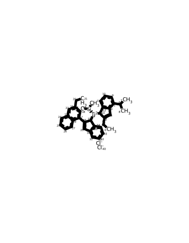 CCC1=Cc2c(C(C)C)cccc2[CH]1[Ti+2]([CH]1C(c2cc(CC)cc3ccccc23)=Cc2ccccc21)=[Si](C)C.[Cl-].[Cl-]